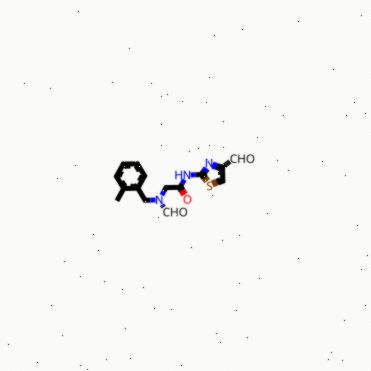 Cc1ccccc1CN(C=O)CC(=O)Nc1nc(C=O)cs1